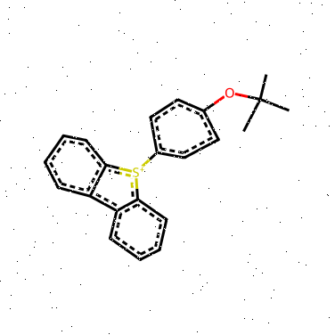 CC(C)(C)Oc1ccc(-[s+]2c3ccccc3c3ccccc32)cc1